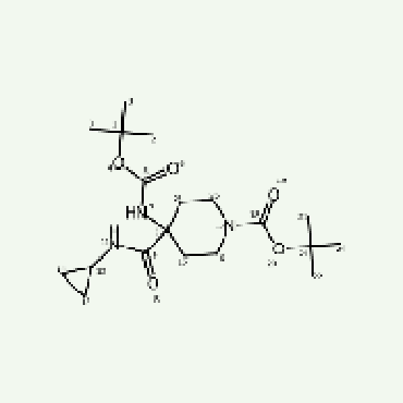 CC(C)(C)OC(=O)NC1(C(=O)NC2CC2)CCN(C(=O)OC(C)(C)C)CC1